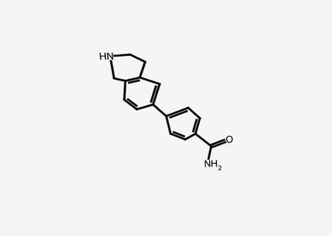 NC(=O)c1ccc(-c2ccc3c(c2)CCNC3)cc1